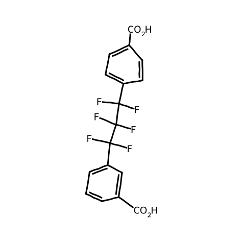 O=C(O)c1ccc(C(F)(F)C(F)(F)C(F)(F)c2cccc(C(=O)O)c2)cc1